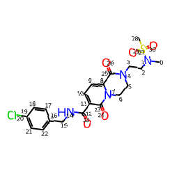 CN(CCN1CCn2c(ccc(C(=O)NCc3ccc(Cl)cc3)c2=O)C1=O)S(C)(=O)=O